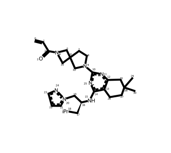 C=CC(=O)N1CC2(CCN(c3nc4c(c(N[C@@H](CC(C)C)Cn5cccn5)n3)CCC(C)(C)C4)C2)C1